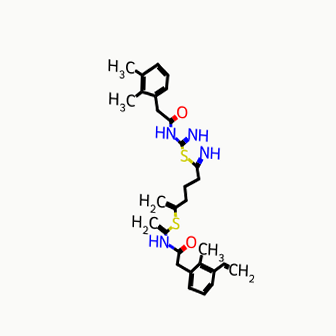 C=Cc1cccc(CC(=O)NC(=C)SC(=C)CCCC(=N)SC(=N)NC(=O)Cc2cccc(C)c2C)c1C